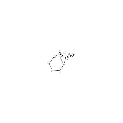 CC1C2CCCC1C(=O)O2